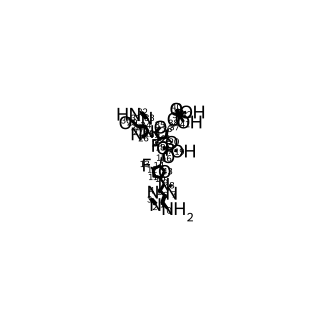 Nc1ncnc2c1ncn2[C@H]1C[C@@H](F)[C@@H](COP(=O)(O)O[C@H]2[C@@H](F)[C@H](n3cnc4c(=O)[nH]cnc43)O[C@@H]2COP(=O)(O)O)O1